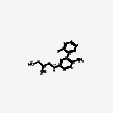 Cc1ccccc1-c1cc(NCC(O)CO)ccc1N